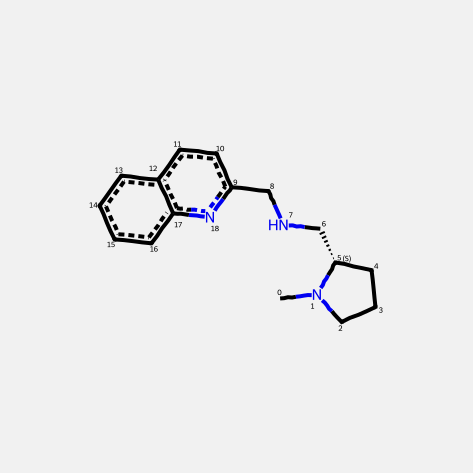 CN1CCC[C@H]1CNCc1ccc2ccccc2n1